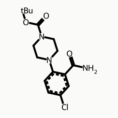 CC(C)(C)OC(=O)N1CCN(c2ccc(Cl)cc2C(N)=O)CC1